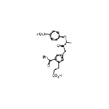 CCCCCCCCc1ccc(OC(C)C(=O)Cn2cc(CCC(=O)O)c(C(=O)C(C)C)c2)cc1